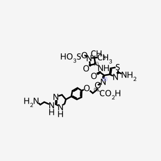 CC1(C)[C@H](NC(=O)/C(=N\O[C@@H](COc2ccc(C3CN=C(NCCN)NC3)cc2)C(=O)O)c2csc(N)n2)C(=O)N1OS(=O)(=O)O